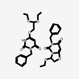 CCOC(COc1cc(=O)n(Cc2ccccc2)c(=O)[nH]1)OCC.CCOC1COc2cc(=O)n(Cc3ccccc3)c(=O)n21